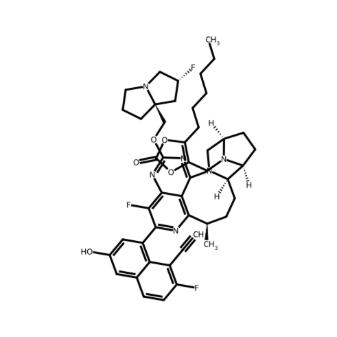 C#Cc1c(F)ccc2cc(O)cc(-c3nc4c5c(nc(OC[C@@]67CCCN6C[C@H](F)C7)nc5c3F)N3C[C@H]5CC[C@@H]([C@H]3CC[C@H]4C)N5Cc3oc(=O)oc3CCCCCC)c12